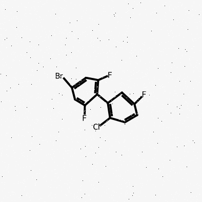 Fc1c[c]c(Cl)c(-c2c(F)cc(Br)cc2F)c1